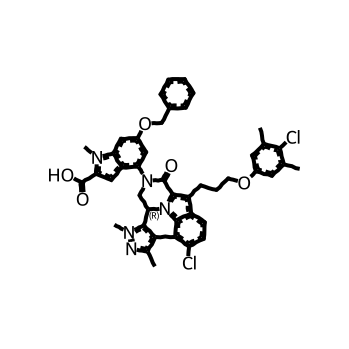 Cc1cc(OCCCc2c3n4c5c(c(Cl)ccc25)-c2c(C)nn(C)c2[C@@]4(C)CN(c2cc(OCc4ccccc4)cc4c2cc(C(=O)O)n4C)C3=O)cc(C)c1Cl